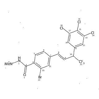 CNNC(=O)c1ccc(C=CC(c2cc(Cl)c(Cl)c(Cl)c2)C(F)(F)F)cc1Br